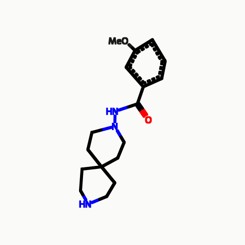 COc1cccc(C(=O)NN2CCC3(CCNCC3)CC2)c1